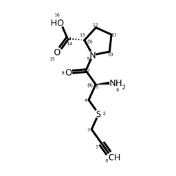 C#CCSC[C@H](N)C(=O)N1CCC[C@H]1C(=O)O